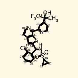 C[C@@](O)(c1ccnc(-c2nccc3cc(C(NS(=O)(=O)C4CC4)c4ccccc4Cl)sc23)c1)C(F)(F)F